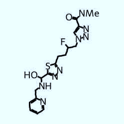 CNC(=O)c1cn(CC(F)CCc2nnc(C(O)NCc3ccccn3)s2)nn1